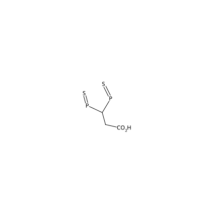 O=C(O)CC(P=S)P=S